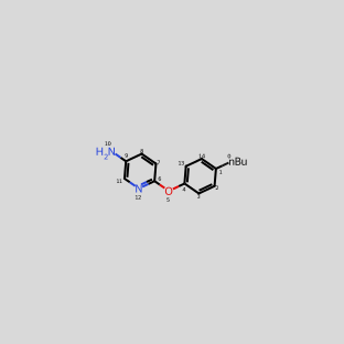 CCCCc1ccc(Oc2ccc(N)cn2)cc1